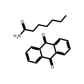 CCCCCCC(N)=O.O=C1c2ccccc2C(=O)c2ccccc21